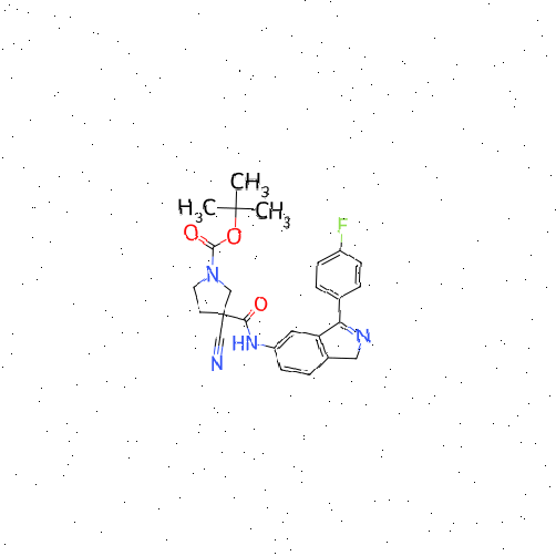 CC(C)(C)OC(=O)N1CCC(C#N)(C(=O)Nc2ccc3c(c2)C(c2ccc(F)cc2)=NC3)C1